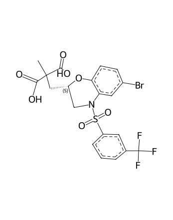 CC(C[C@H]1CN(S(=O)(=O)c2cccc(C(F)(F)F)c2)c2cc(Br)ccc2O1)(C(=O)O)C(=O)O